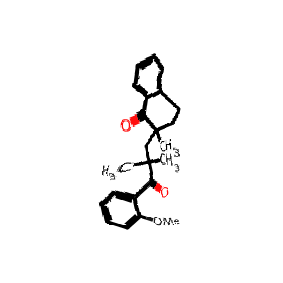 COc1ccccc1C(=O)C(C)(C)CC1(C)CCc2ccccc2C1=O